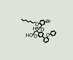 CCCCCCCOc1ccc(Br)cc1C(=O)NC(CC(=O)O)c1ccc(-c2ccccc2Oc2ccccc2)cc1